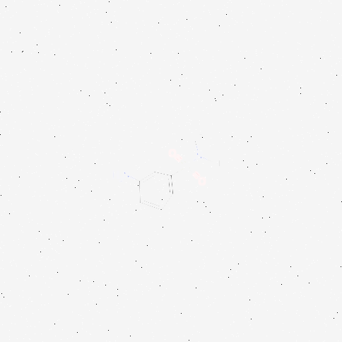 CC(C)N(C)S(=O)(=O)c1cccc(N)c1